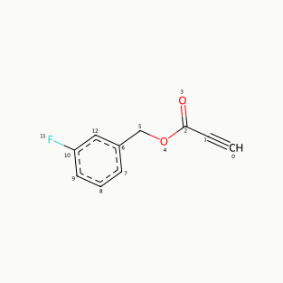 C#CC(=O)OCc1cccc(F)c1